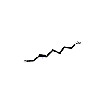 CCCCCCCC/C=C/C[O]